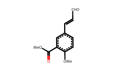 COC(=O)c1cc(/C=C/C=O)ccc1OC